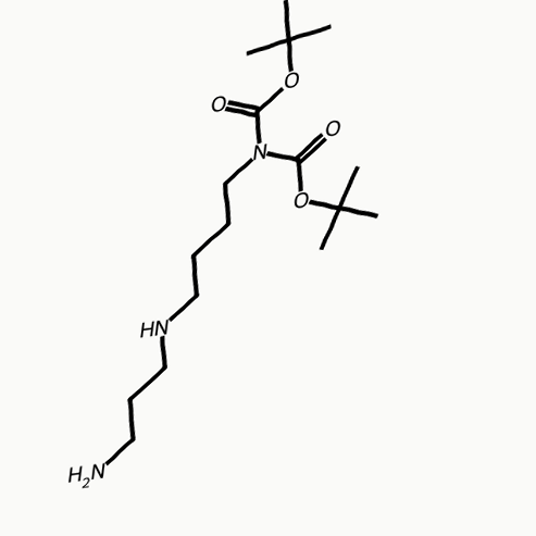 CC(C)(C)OC(=O)N(CCCCNCCCN)C(=O)OC(C)(C)C